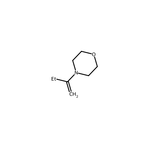 C=C(CC)N1CCOCC1